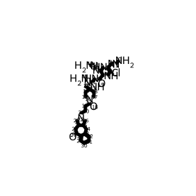 NN=NC1=C(Cl)NC(C(=O)NC2NC3(CCN(C(=O)CCCN4CC5CC(=O)c6ccccc6CC5C4)CC3)CN2N)C(N=NN)N1